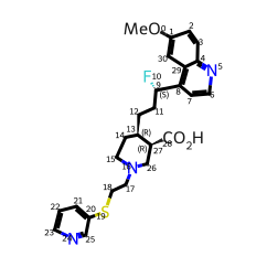 COc1ccc2nccc([C@@H](F)CC[C@@H]3CCN(CCSc4cccnc4)C[C@@H]3C(=O)O)c2c1